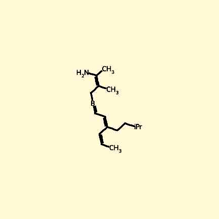 C\C=C/C(=C\C=B\C/C(C)=C(/C)N)CCC(C)C